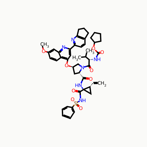 C=C[C@@H]1C[C@]1(NC(=O)[C@@H]1C[C@@H](Oc2cc(-c3ccc4c(n3)CCC4)nc3cc(OC)ccc23)CN1C(=O)[C@@H](NC(=O)OC1CCCC1)C(C)C)C(=O)NS(=O)(=O)c1ccccc1